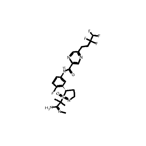 C/N=C(/N)C(C)(C)S1(=O)=NCC[C@H]1c1cc(NC(=O)c2cnc(CCC(F)(F)C(F)F)cn2)ccc1F